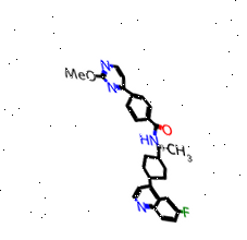 COc1nccc(-c2ccc(C(=O)N[C@H](C)C3CCC(c4ccnc5ccc(F)cc45)CC3)cc2)n1